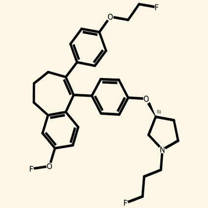 FCCCN1CC[C@H](Oc2ccc(C3=C(c4ccc(OCCF)cc4)CCCc4cc(OF)ccc43)cc2)C1